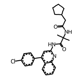 CC(C)(NC(=O)CC1CCCC1)C(=O)Nc1cc(-c2ccc(Cl)cc2)c2ccccc2n1